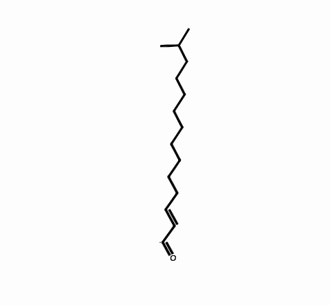 CC(C)CCCCCCCCCC=C[C]=O